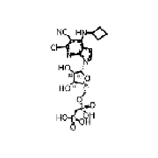 N#Cc1c(Cl)nc2c(ccn2[C@@H]2O[C@H](COP(=O)(O)CP(=O)(O)O)[C@@H](O)[C@H]2O)c1NC1CCC1